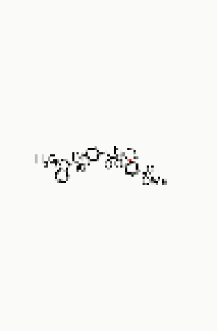 COC(=O)c1ccc(OC(F)(C(=O)Cc2ccc(NC(=O)c3cn(C)c4ccccc34)c(Cl)c2)N2CCCC2)cc1